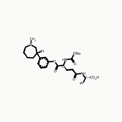 CCC1(c2cccc(OC(=O)[C@H](CCC(=O)N[C@H](C(=O)O)C(C)C)NC(=O)OC)c2)CCCCN(C)C1